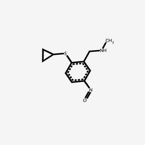 CNCc1cc(N=O)ccc1SC1CC1